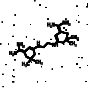 CC1(C)CC(NCCNC2=CC(=C(N)N)CC(C)(C)C2)=CC(=C(N)N)C1